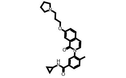 Cc1ccc(C(=O)NC2CC2)cc1-n1ccc2ccc(OCCCN3CCCC3)cc2c1=O